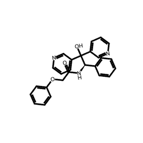 O=C(COc1ccccc1)N[C@H](c1ccccc1)C(O)(c1cccnc1)c1cccnc1